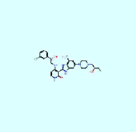 Cc1cc(N2CCN(CC(O)CF)CC2)cc2[nH]c(-c3c(NC[C@H](O)c4cccc(Cl)c4)cc[nH]c3=O)nc12